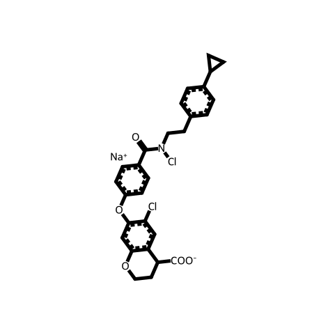 O=C([O-])C1CCOc2cc(Oc3ccc(C(=O)N(Cl)CCc4ccc(C5CC5)cc4)cc3)c(Cl)cc21.[Na+]